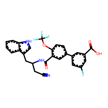 N#CCC(Cc1c[nH]c2ccccc12)NC(=O)c1cc(-c2cc(F)cc(C(=O)O)c2)ccc1OC(F)(F)F